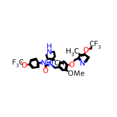 COc1cc(CN(C(=O)Nc2ccc(OC(F)(F)F)cc2)C2(C)CCNCC2)ccc1OCc1nccc(OCC(F)(F)F)c1C